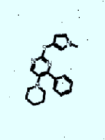 Cn1ccc(Sc2ncc(N3CCCCC3)c(-c3ccccc3)n2)c1